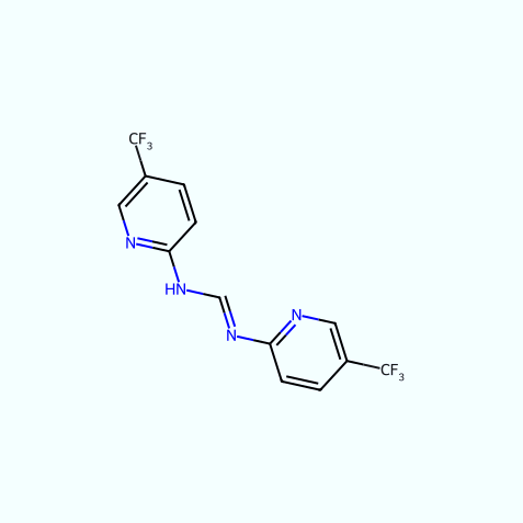 FC(F)(F)c1ccc(N=CNc2ccc(C(F)(F)F)cn2)nc1